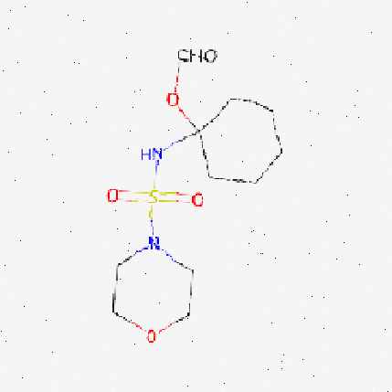 O=COC1(NS(=O)(=O)N2CCOCC2)CCCCC1